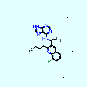 CCCCc1nc2c(F)cccc2cc1[C@H](C)Nc1ncnc2[nH]cnc12